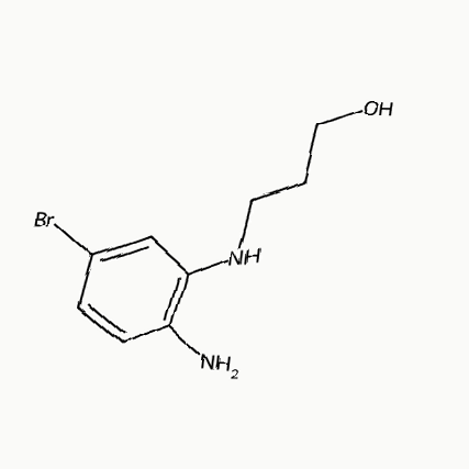 Nc1ccc(Br)cc1NCCCO